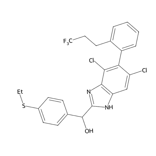 CCSc1ccc(C(O)c2nc3c(Cl)c(-c4ccccc4CCC(F)(F)F)c(Cl)cc3[nH]2)cc1